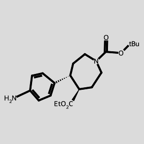 CCOC(=O)[C@@H]1CCN(C(=O)OC(C)(C)C)CC[C@H]1c1ccc(N)cc1